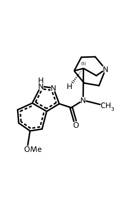 COc1ccc2[nH]nc(C(=O)N(C)[C@@H]3CN4CCC3CC4)c2c1